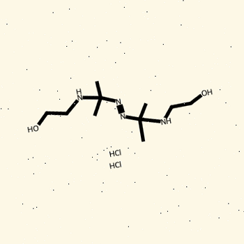 CC(C)(N=NC(C)(C)NCCO)NCCO.Cl.Cl